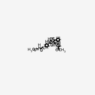 COCCNC(=O)COc1ccc([C@H]2NC(=O)N([C@H](C(=O)Nc3nc(C(C)=O)cs3)[C@@H](C)c3ccccc3)C2=O)cc1